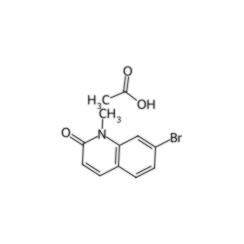 CC(=O)O.Cn1c(=O)ccc2ccc(Br)cc21